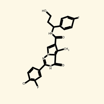 Cc1c(C(=O)NC(CCO)c2ccc(F)cc2)cn2nc(-c3ccc(Cl)c(F)c3)[nH]c(=O)c12